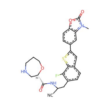 Cn1c(=O)oc2ccc(-c3cc4ccc(CC(C#N)NC(=O)[C@@H]5CNCCCO5)c(F)c4s3)cc21